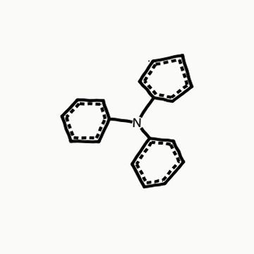 [c]1cccc(N(c2ccccc2)c2ccccc2)c1